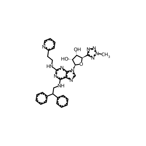 Cn1nnc([C@H]2O[C@@H](n3cnc4c(NCC(c5ccccc5)c5ccccc5)nc(NCCc5ccccn5)nc43)[C@H](O)[C@@H]2O)n1